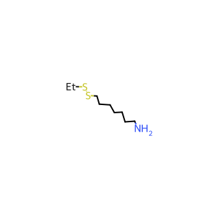 CCSSCCCCCCCN